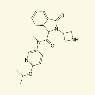 CC(C)Oc1ccc(N(C)C(=O)C2c3ccccc3C(=O)N2C2CNC2)cn1